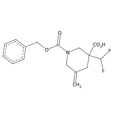 C=C1CN(C(=O)OCc2ccccc2)CC(C(=O)O)(C(F)F)C1